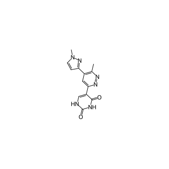 Cc1nnc(-c2c[nH]c(=O)[nH]c2=O)cc1-c1ccn(C)n1